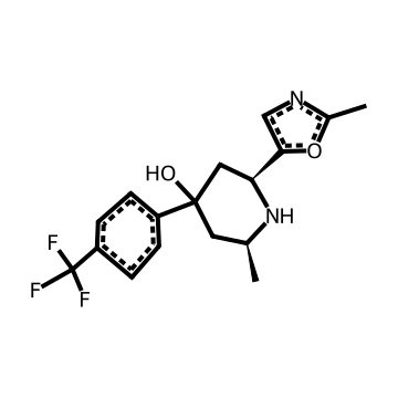 Cc1ncc([C@@H]2CC(O)(c3ccc(C(F)(F)F)cc3)C[C@H](C)N2)o1